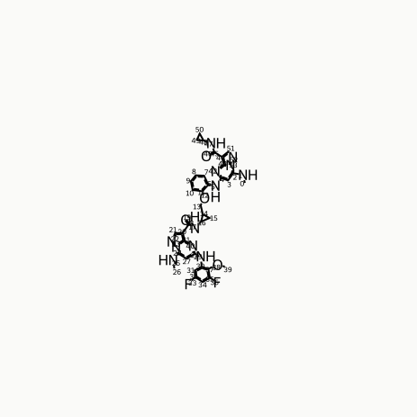 CNc1cc(Nc2ccccc2OCC2CC2NC(=O)c2cnn3c(NC)cc(Nc4cc(F)cc(F)c4OC)nc23)nc2c(C(=O)NC3CC3)cnn12